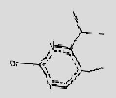 Cc1cnc(Br)nc1C(C)C